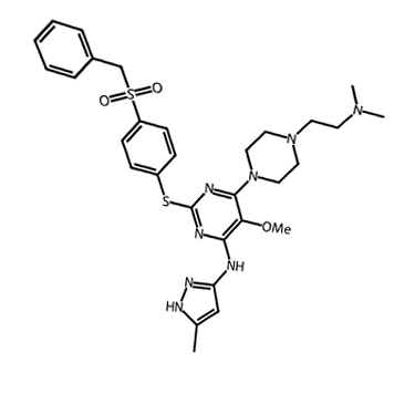 COc1c(Nc2cc(C)[nH]n2)nc(Sc2ccc(S(=O)(=O)Cc3ccccc3)cc2)nc1N1CCN(CCN(C)C)CC1